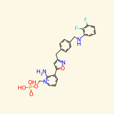 Nc1c(-c2cc(Cc3ccc(CNc4cccc(F)c4F)cc3)no2)ccc[n+]1COP(=O)(O)O